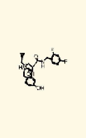 O=C(NCc1ccc(F)cc1F)[C@H]1C[C@]23CCN(CC4CC4)[C@H](Cc4ccc(O)cc42)[C@]3(O)C1